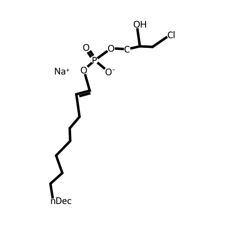 CCCCCCCCCCCCCCCC/C=C/OP(=O)([O-])OCC(O)CCl.[Na+]